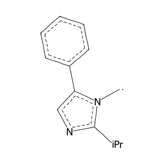 [CH2]n1c(-c2ccccc2)cnc1C(C)C